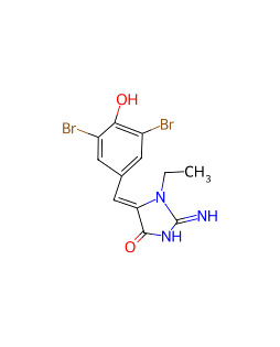 CCN1C(=N)NC(=O)/C1=C/c1cc(Br)c(O)c(Br)c1